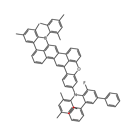 Cc1cc(C)c(B2c3c(C)cc(C)cc3-c3cccc4c3c2cc2c3cccc5c3c(cc42)-c2ccc(N(c3c(C)cc(C)cc3C)c3c(F)cc(-c4ccccc4)cc3-c3ccccc3)cc2O5)c(C)c1